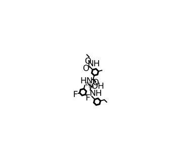 CCONC(=O)c1cc(C)cc(C(=O)N[C@@H](Cc2cc(F)cc(F)c2)[C@H](O)CNCc2cccc(CC)c2)c1